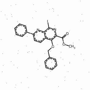 COC(=O)c1nc(I)c2nc(-c3ccccc3)ccc2c1OCc1ccccc1